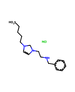 Cl.O=S(=O)(O)CCCCN1C=CN(CCNCc2ccccc2)C1